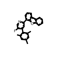 Cc1cc(C)c(-c2cc(-c3cccc4c3oc3ccccc34)ncc2F)c(C)c1